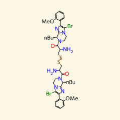 CCCC[C@H]1c2nc(-c3ccccc3OC)c(Br)n2CCN1C(=O)[C@@H](N)CSSC[C@H](N)C(=O)N1CCn2c(nc(-c3ccccc3OC)c2Br)[C@@H]1CCCC